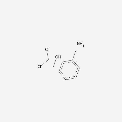 CO.Cc1ccccc1.ClCCl.N